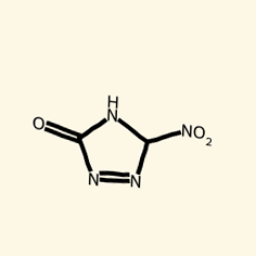 O=C1N=NC([N+](=O)[O-])N1